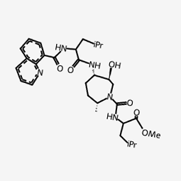 COC(=O)C(CC(C)C)NC(=O)N1C[C@H](O)[C@@H](NC(=O)C(CC(C)C)NC(=O)c2cccc3cccnc23)CC[C@H]1C